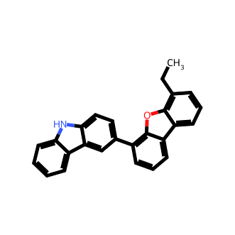 CCc1cccc2c1oc1c(-c3ccc4[nH]c5ccccc5c4c3)cccc12